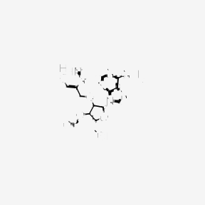 C/C=C(/COC1C(OP=O)[C@@H](CO)O[C@H]1n1cnc2c(N)ncnc21)N=N